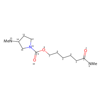 CNC(=O)CCCCCOC(=O)N1CCC(NC)C1